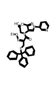 C#CCN(C(=O)C(CSC(c1ccccc1)(c1ccccc1)c1ccccc1)=NOCC)c1cn(-c2cccnc2)nc1Cl